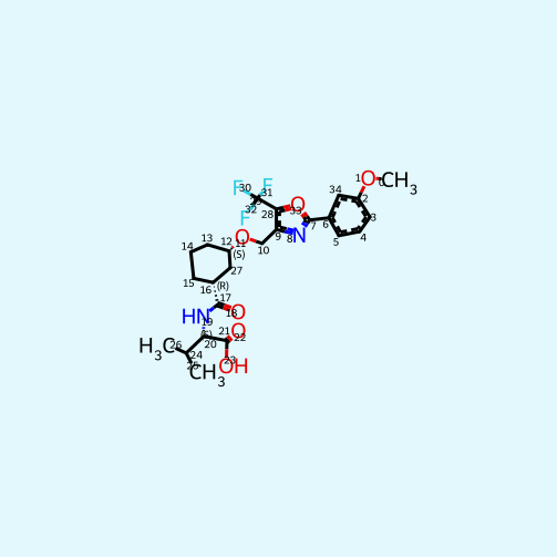 COc1cccc(-c2nc(CO[C@H]3CCC[C@@H](C(=O)N[C@H](C(=O)O)C(C)C)C3)c(C(F)(F)F)o2)c1